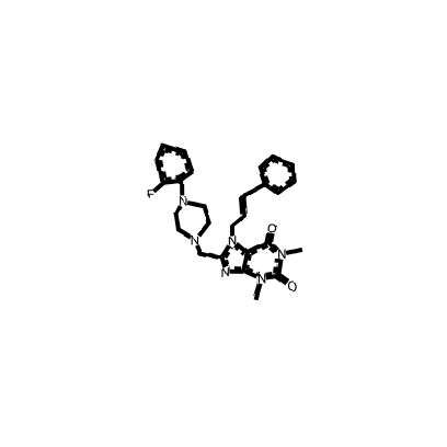 Cn1c(=O)c2c(nc(CN3CCN(c4ccccc4F)CC3)n2CC=Cc2ccccc2)n(C)c1=O